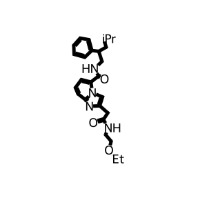 CCOCCNC(=O)Cc1cn2c(C(=O)NCC(CC(C)C)c3ccccc3)cccc2n1